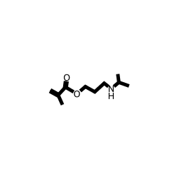 C=C(C)C(=O)OCCCNC(C)C